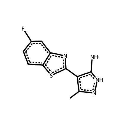 Cc1n[nH]c([NH])c1-c1nc2cc(F)ccc2s1